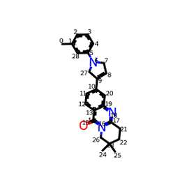 Cc1cccc(N2CC=C(c3ccc4c(=O)n5c(nc4c3)CCC(C)(C)C5)C2)c1